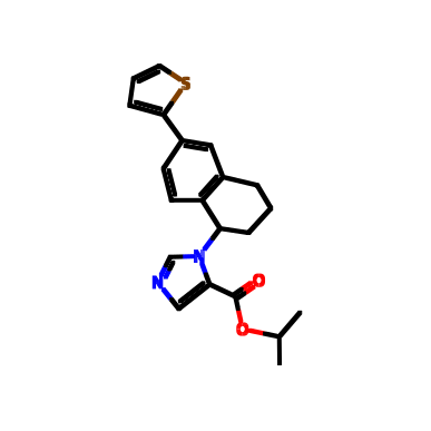 CC(C)OC(=O)c1cncn1C1CCCc2cc(-c3cccs3)ccc21